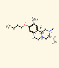 COc1cc2c(cc1OCCCC(F)(F)F)CCN1C[C@@H](CC(C)C)N(C)C[C@H]21